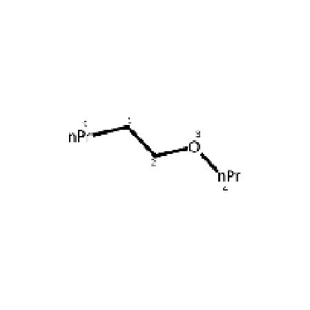 [CH2]CCC[CH]OCCC